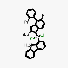 CCCCC1=Cc2c(ccc(CC)c2-c2ccccc2C(C)C)[CH]1[Zr]([Cl])([Cl])[c]1cccc2c1[SiH2]c1ccccc1-2